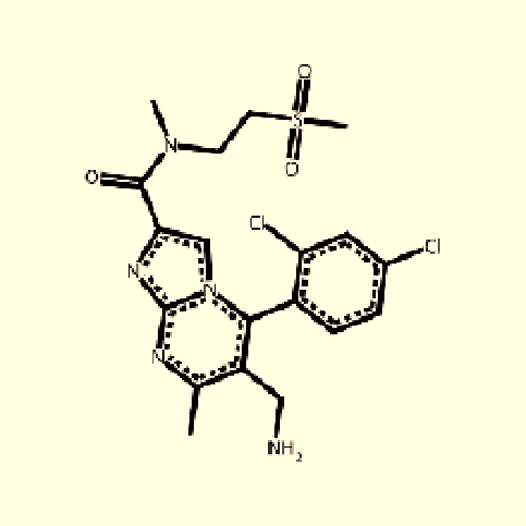 Cc1nc2nc(C(=O)N(C)CCS(C)(=O)=O)cn2c(-c2ccc(Cl)cc2Cl)c1CN